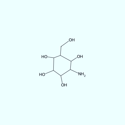 NC1C(O)C(O)C(O)C(CO)C1O